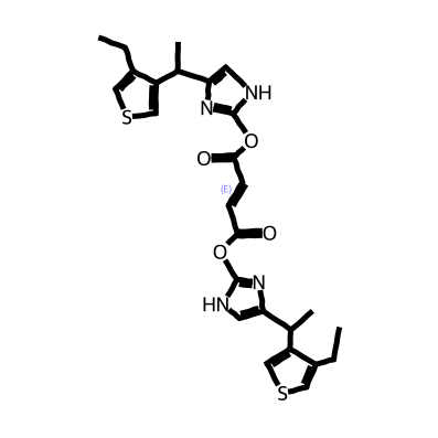 CCc1cscc1C(C)c1c[nH]c(OC(=O)/C=C/C(=O)Oc2nc(C(C)c3cscc3CC)c[nH]2)n1